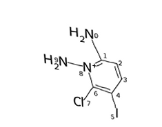 Nc1ccc(I)c(Cl)[n+]1N